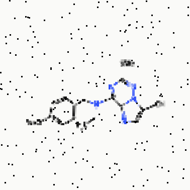 COc1ccc(CN(CC(F)(F)F)c2nc(SC)nn3c(C#N)cnc23)cc1